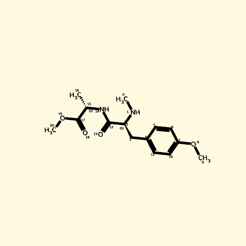 CN[C@@H](Cc1ccc(OC)cc1)C(=O)N[C@@H](C)C(=O)OC